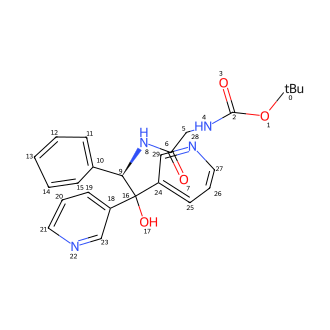 CC(C)(C)OC(=O)NCC(=O)N[C@H](c1ccccc1)C(O)(c1cccnc1)c1cccnc1